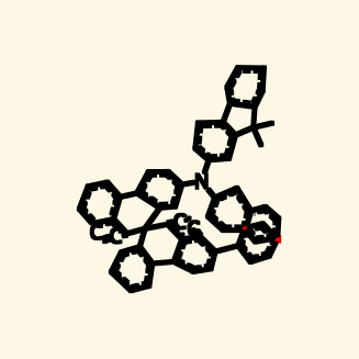 CC1(C)c2ccccc2-c2ccc(N(c3ccc4c(c3)C3(c5ccccc5-c5ccc(-c6ccccc6)c6cccc3c56)c3cccc5cccc-4c35)c3ccc4ccccc4c3)cc21